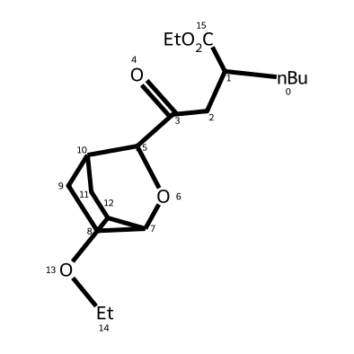 [CH2]CCCC(CC(=O)[C]1OC2CCC1CC2OCC)C(=O)OCC